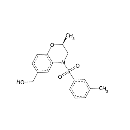 Cc1cccc(S(=O)(=O)N2C[C@H](C)Oc3ccc(CO)cc32)c1